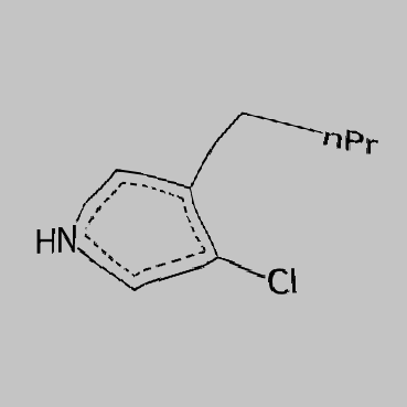 CCCCc1c[nH]cc1Cl